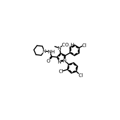 CN(C(=O)O)c1c(C(=O)NN2CCCCC2)nn(-c2ccc(Cl)cc2Cl)c1-c1ccc(Cl)cc1